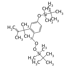 C=C(C)C(C)(C)c1cc(O[Si](C)(C)C(C)(C)C)ccc1COO[Si](C)(C)C(C)(C)C